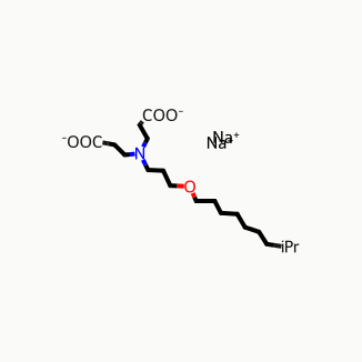 CC(C)CCCCCCCOCCCN(CCC(=O)[O-])CCC(=O)[O-].[Na+].[Na+]